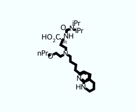 CCCOCCN(CCCCc1ccc2c(n1)NCCC2)CC[C@@H](NC(=O)N(C(C)C)C(C)C)C(=O)O